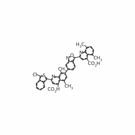 Cc1ccc(C)c2c(C(=O)O)cc(-c3onc4cc(-c5cc(C)c6c(C(=O)O)cc(-c7sc(Cl)c8ccccc78)nc6c5C)ccc34)nc12